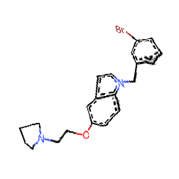 Brc1cccc(Cn2ccc3cc(OCCN4CCCC4)ccc32)c1